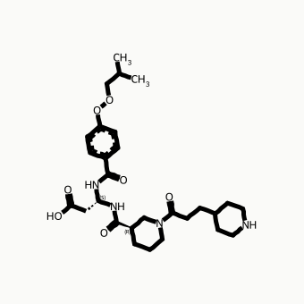 CC(C)COOc1ccc(C(=O)N[C@@H](CC(=O)O)NC(=O)[C@@H]2CCCN(C(=O)CCC3CCNCC3)C2)cc1